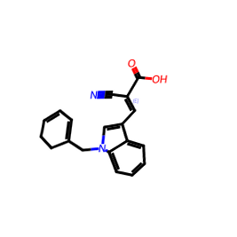 N#C/C(=C\c1cn(CC2=CC=CCC2)c2ccccc12)C(=O)O